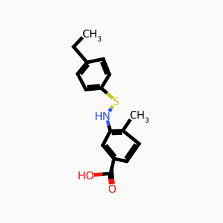 CCc1ccc(SNc2cc(C(=O)O)ccc2C)cc1